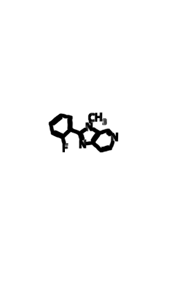 Cn1c(-c2ccccc2F)nc2ccncc21